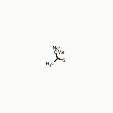 COC(C)[S-].[Na+]